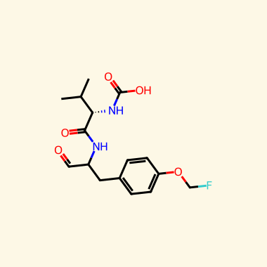 CC(C)[C@H](NC(=O)O)C(=O)NC(C=O)Cc1ccc(OCF)cc1